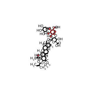 C/C=C(/C)C(=O)O[C@H]1[C@H](OC(C)=O)[C@]2(CO)[C@H](O)C[C@]3(C)C(=CC[C@@H]4[C@@]5(C)CC[C@H](O[C@@H]6O[C@H](C(=O)O)[C@@H](O)[C@H](O[C@@H]7O[C@H](CO)[C@H](O)[C@H](O)[C@H]7O)[C@H]6O[C@@H]6OC[C@H](O)[C@H](O)[C@H]6O[C@@H]6OC[C@@H](O)[C@H](O)[C@H]6O)[C@@](C)(CO)[C@@H]5CC[C@]43C)[C@@H]2CC1(C)C